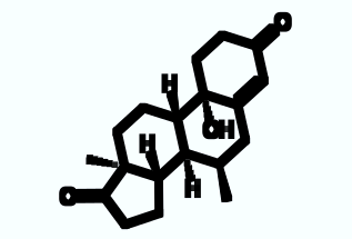 C[C@@H]1CC2=CC(=O)CC[C@]2(O)[C@H]2CC[C@]3(C)C(=O)CC[C@H]3[C@H]12